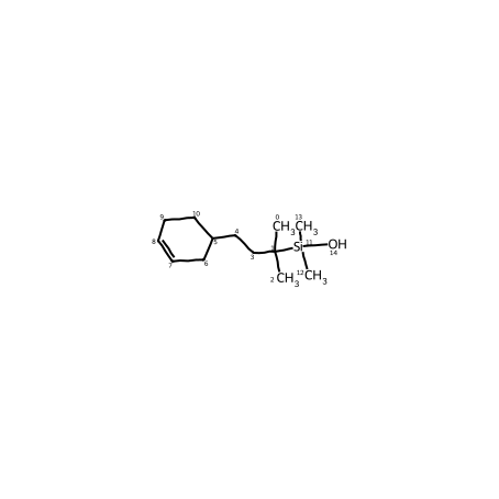 CC(C)(CCC1CC=CCC1)[Si](C)(C)O